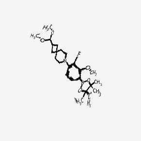 COc1c(B2OC(C)(C)C(C)(C)O2)ccc(N2CCC3(CC2)CC(C(OC)OC)C3)c1F